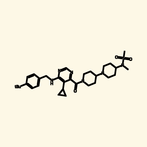 CN(C1CCN(C2CCN(C(=O)c3ncnc(NCc4ccc(C(C)(C)C)cc4)c3C3CC3)CC2)CC1)S(C)(=O)=O